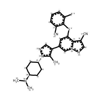 Cc1c(-c2cc(Sc3c(F)cccc3C#N)c3c(C#N)cnn3c2)cnn1[C@H]1CC[C@H](N(C)C)CC1